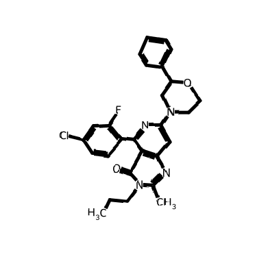 CCCn1c(C)nc2cc(N3CCOC(c4ccccc4)C3)nc(-c3ccc(Cl)cc3F)c2c1=O